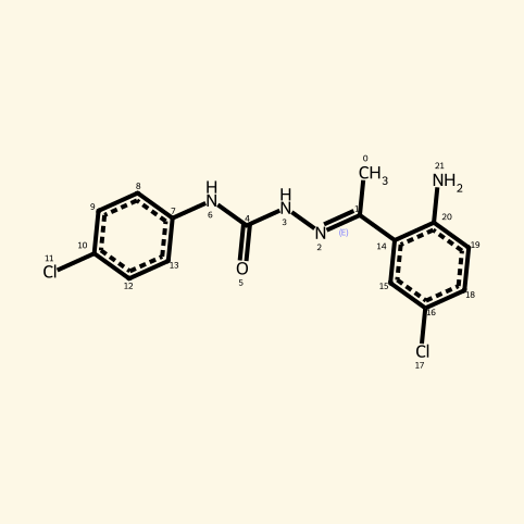 C/C(=N\NC(=O)Nc1ccc(Cl)cc1)c1cc(Cl)ccc1N